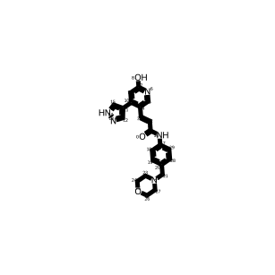 O=C(/C=C/c1cnc(O)cc1-c1cn[nH]c1)Nc1ccc(CN2CCOCC2)cc1